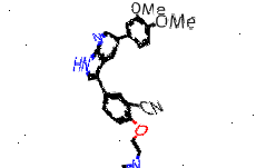 COc1ccc(-c2cnc3[nH]cc(-c4ccc(OCCN(C)C)c(C#N)c4)c3c2)cc1OC